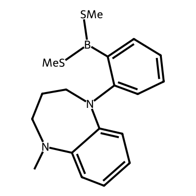 CSB(SC)c1ccccc1N1CCCN(C)c2ccccc21